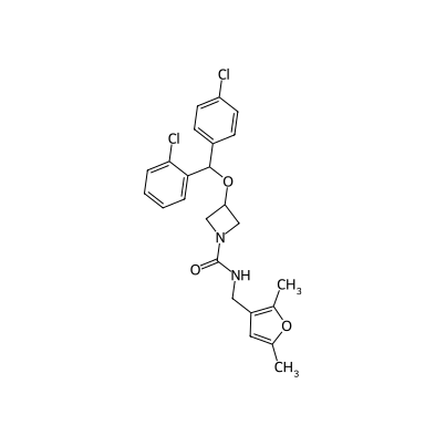 Cc1cc(CNC(=O)N2CC(OC(c3ccc(Cl)cc3)c3ccccc3Cl)C2)c(C)o1